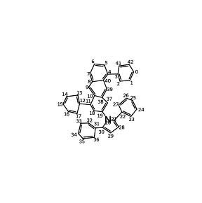 c1ccc(-c2cccc3cc4c(-c5ccccc5)cc(-n5c(-c6ccccc6)ccc5-c5ccccc5)cc4cc23)cc1